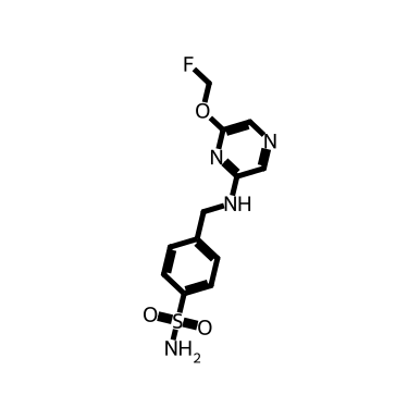 NS(=O)(=O)c1ccc(CNc2cncc(OCF)n2)cc1